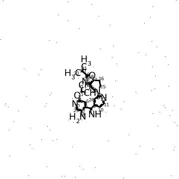 CC(C)Oc1cc(C(=N)c2ccnc(N3CCc4oc(C(C)C)nc4C3)c2)c(N)cn1